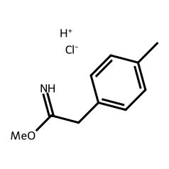 COC(=N)Cc1ccc(C)cc1.[Cl-].[H+]